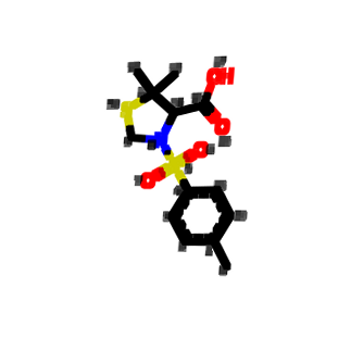 Cc1ccc(S(=O)(=O)N2CSC(C)(C)C2C(=O)O)cc1